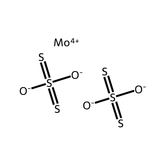 [Mo+4].[O-]S([O-])(=S)=S.[O-]S([O-])(=S)=S